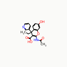 CCC1(c2cccnc2)C(C(=O)O)=C(NC(C)=O)Oc2cc(O)ccc21